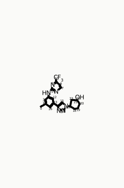 Cc1cc(Nc2nccc(C(F)(F)F)n2)cc(-c2cn(C3CCCC(O)C3)nn2)c1